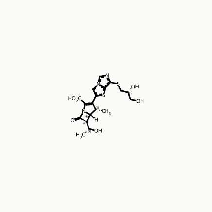 C[C@@H](O)[C@H]1C(=O)N2C(C(=O)O)=C(c3cn4cnc(SC[C@H](O)CO)c4s3)[C@H](C)[C@H]12